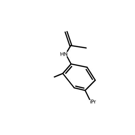 C=C(C)Nc1ccc(C(C)C)cc1C